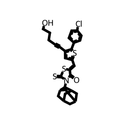 O=C1/C(=C/c2cc(C#CCCCO)c(-c3ccc(Cl)cc3)s2)SC(=S)N1C1C2CC3CC(C2)CC1C3